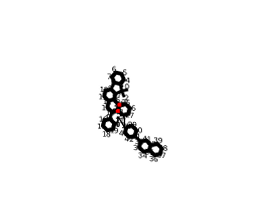 CC1(C)c2ccccc2-c2ccc3cc(-c4ccccc4N(c4ccccc4)c4ccc(-c5ccc6ccccc6c5)cc4)ccc3c21